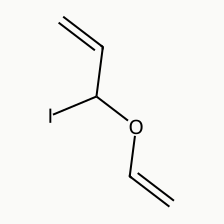 C=COC(I)C=C